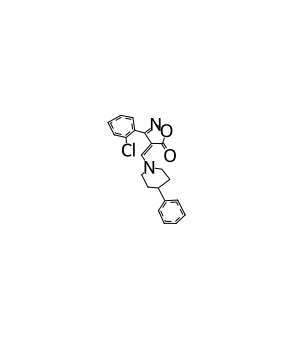 O=C1ON=C(c2ccccc2Cl)C1=CN1CCC(c2ccccc2)CC1